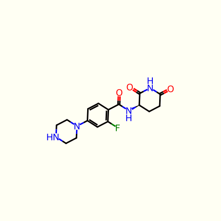 O=C1CC[C@@H](NC(=O)c2ccc(N3CCNCC3)cc2F)C(=O)N1